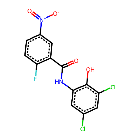 O=C(Nc1cc(Cl)cc(Cl)c1O)c1cc([N+](=O)[O-])ccc1F